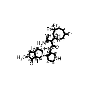 CCC1(CC)CCC(F)CNC(C(C(=O)NC2=C(N3CC[C@H]4CN(C)C(=O)[C@H]4C3)CCNC2)C(N)N)C1